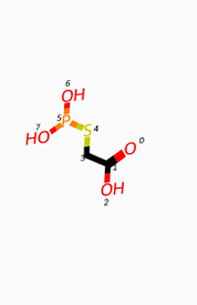 O=C(O)CSP(O)O